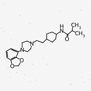 CC(C)C(=O)NC1CCC(CCN2CCN(c3cccc4c3OCO4)CC2)CC1